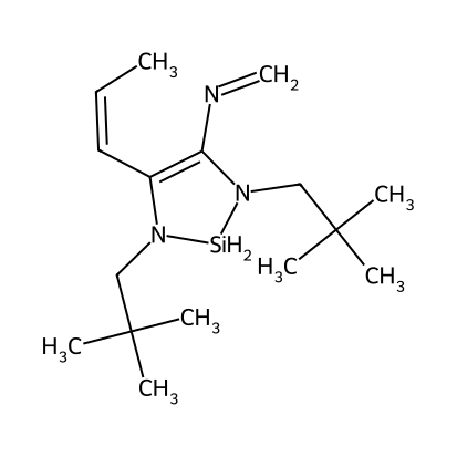 C=NC1=C(/C=C\C)N(CC(C)(C)C)[SiH2]N1CC(C)(C)C